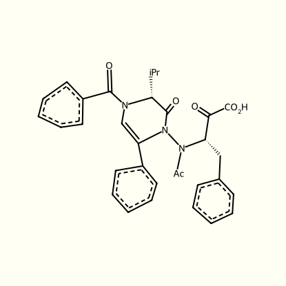 CC(=O)N([C@@H](Cc1ccccc1)C(=O)C(=O)O)N1C(=O)[C@@H](C(C)C)N(C(=O)c2ccccc2)C=C1c1ccccc1